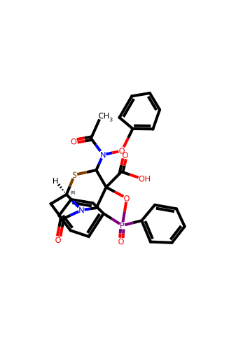 CC(=O)N(Oc1ccccc1)C1S[C@@H]2CC(=O)N2CC1(OP(=O)(c1ccccc1)c1ccccc1)C(=O)O